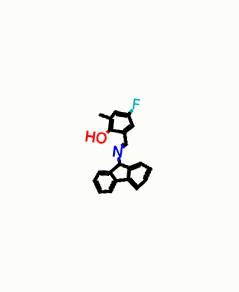 Cc1cc(F)cc(C=NC2c3ccccc3-c3ccccc32)c1O